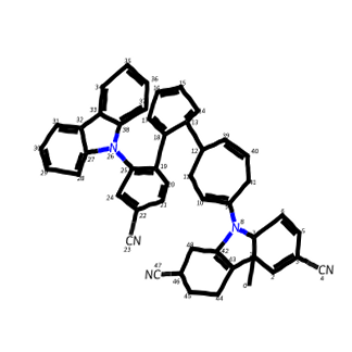 CC12C=C(C#N)C=CC1N(C1=CCC(c3ccccc3-c3ccc(C#N)cc3-n3c4ccccc4c4ccccc43)C=CC1)C1=C2CCC(C#N)C1